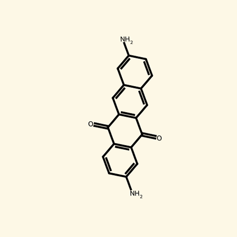 Nc1ccc2c(c1)C(=O)c1cc3ccc(N)cc3cc1C2=O